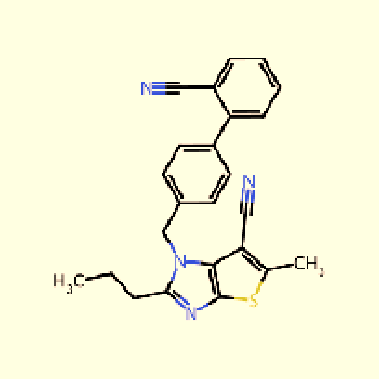 CCCc1nc2sc(C)c(C#N)c2n1Cc1ccc(-c2ccccc2C#N)cc1